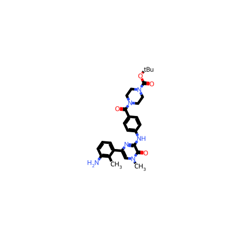 Cc1c(N)cccc1-c1cn(C)c(=O)c(Nc2ccc(C(=O)N3CCN(C(=O)OC(C)(C)C)CC3)cc2)n1